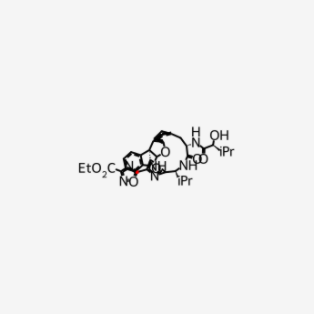 CCOC(=O)c1noc(-c2nc3oc2[C@@]24c5ccccc5NC2Oc2ccc(cc24)C[C@H](NC(=O)[C@@H](O)C(C)C)C(=O)N[C@H]3C(C)C)n1